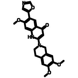 COc1cc2c(cc1OC)CN(c1cc(=O)c3cc(-c4cnco4)c(OC)cc3[nH]1)CC2